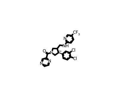 O=C(c1cnccn1)N1CC(CNc2ccc(C(F)(F)F)cn2)[C@@H](c2ccc(Cl)c(Cl)c2)C1